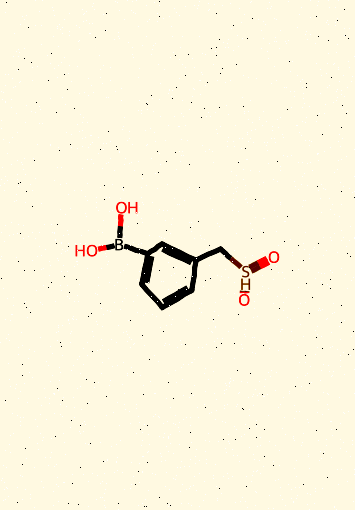 O=[SH](=O)Cc1cccc(B(O)O)c1